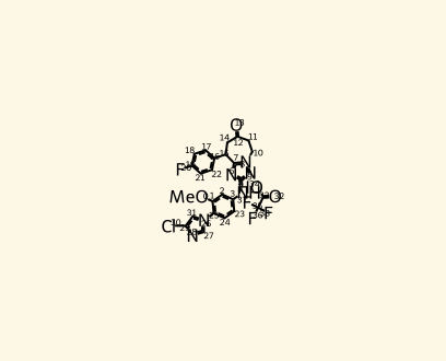 COc1cc(Nc2nc3n(n2)CCC(=O)CC3c2ccc(F)cc2)ccc1-n1cnc(Cl)c1.O=C(O)C(F)(F)F